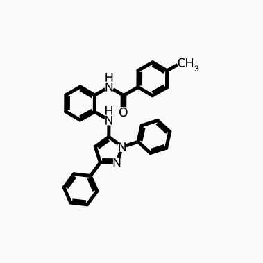 Cc1ccc(C(=O)Nc2ccccc2Nc2cc(-c3ccccc3)nn2-c2ccccc2)cc1